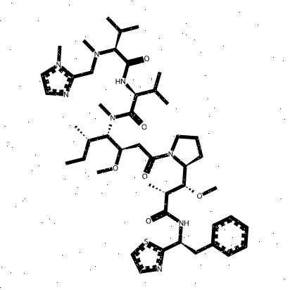 CC[C@H](C)[C@@H]([C@@H](CC(=O)N1CCC[C@H]1[C@H](OC)[C@@H](C)C(=O)N[C@@H](Cc1ccccc1)c1nccs1)OC)N(C)C(=O)[C@@H](NC(=O)[C@H](C(C)C)N(C)Cc1nccn1C)C(C)C